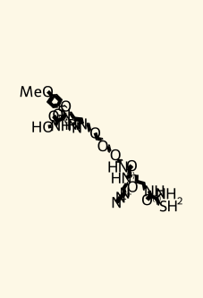 COc1ccc(S(=O)(=O)N(Cc2cn(CCOCCOCCOCCNC(=O)[C@H](CCCCNC(=O)[C@@H](N)CS)NC(=O)CN=[N+]=[N-])nn2)[C@@H](C(=O)NO)C(C)C)cc1